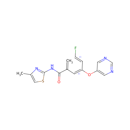 C=C(/C=C(\C=C\F)Oc1cncnc1)C(=O)Nc1nc(C)cs1